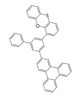 c1ccc(-c2cc(-c3ccc4c5ccccc5c5ccccc5c4c3)cc(-c3cccc4c3Oc3ccccc3S4)c2)cc1